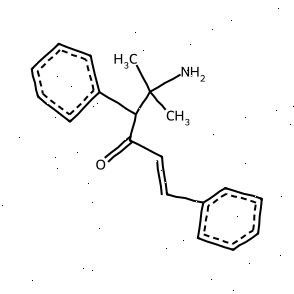 CC(C)(N)C(C(=O)C=Cc1ccccc1)c1ccccc1